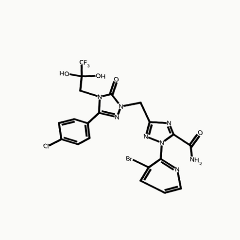 NC(=O)c1nc(Cn2nc(-c3ccc(Cl)cc3)n(CC(O)(O)C(F)(F)F)c2=O)nn1-c1ncccc1Br